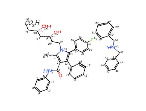 CC(C)c1c(C(=O)Nc2ccccc2)c(-c2ccccc2)c(-c2ccc(F)cc2)n1CC[C@@H](O)C[C@@H](O)CC(=O)O.c1ccc(CNCc2ccccc2)cc1